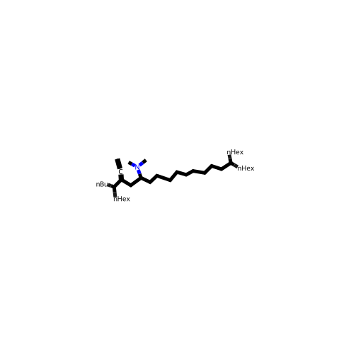 C=C=C(CC(CCCCCCCCCC(CCCCCC)CCCCCC)N(C)C)C(CCCC)CCCCCC